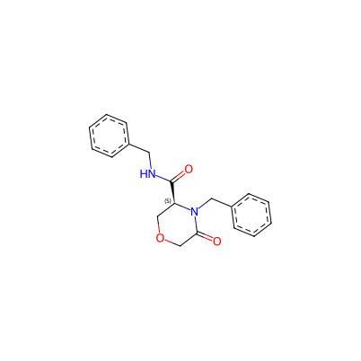 O=C(NCc1ccccc1)[C@@H]1COCC(=O)N1Cc1ccccc1